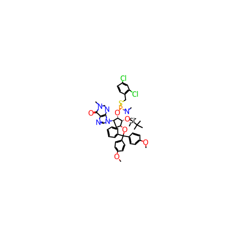 COc1ccc(C(O[C@H]2C[C@@H](n3cnc4c(=O)n(C)cnc43)[C@H](OP(SCc3ccc(Cl)cc3Cl)N(C)C)[C@@H]2O[Si](C)(C)C(C)(C)C)(c2ccccc2)c2ccc(OC)cc2)cc1